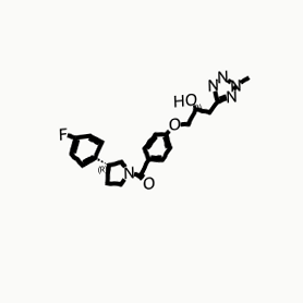 Cn1nnc(C[C@@H](O)COc2ccc(C(=O)N3CC[C@H](c4ccc(F)cc4)C3)cc2)n1